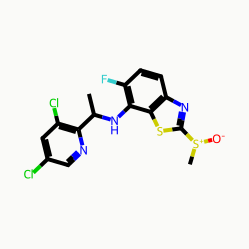 CC(Nc1c(F)ccc2nc([S+](C)[O-])sc12)c1ncc(Cl)cc1Cl